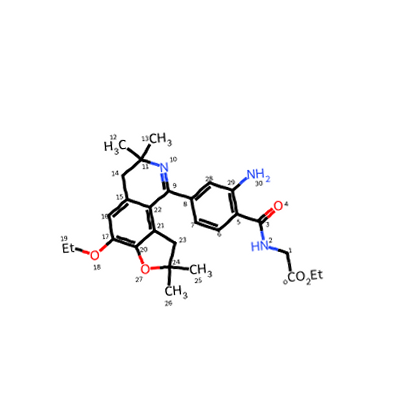 CCOC(=O)CNC(=O)c1ccc(C2=NC(C)(C)Cc3cc(OCC)c4c(c32)CC(C)(C)O4)cc1N